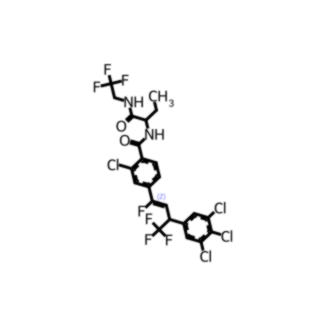 CCC(NC(=O)c1ccc(/C(F)=C/C(c2cc(Cl)c(Cl)c(Cl)c2)C(F)(F)F)cc1Cl)C(=O)NCC(F)(F)F